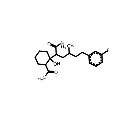 NC(=O)C1CCCCC1(O)C(CC(O)[CH]Cc1cccc(F)c1)C(N)=O